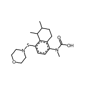 CC1CCc2c(N(C)C(=O)O)ccc(SN3CCOCC3)c2C1C